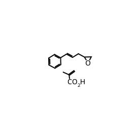 C(=Cc1ccccc1)CC1CO1.C=C(C)C(=O)O